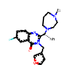 CCC[C@H](c1nc2ccc(F)cc2c(=O)n1Cc1ccoc1)N1CCCN(CC)CC1